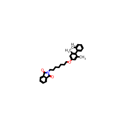 Cc1ccccc1-c1c(C)cc(OCCCCCCCN2C(=O)c3ccccc3C2=O)cc1C